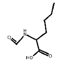 CCCCC(NC=O)C(=O)O